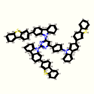 c1ccc2c(c1)sc1cc(-c3ccc4c5ccccc5n(-c5ccc(-c6cc(-n7c8ccccc8c8ccc(-c9ccc%10c(c9)sc9ccccc9%10)cc87)nc(-n7c8ccccc8c8ccc(-c9ccc%10c(c9)sc9ccccc9%10)cc87)n6)cc5)c4c3)ccc12